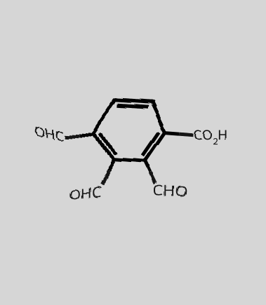 O=Cc1ccc(C(=O)O)c(C=O)c1C=O